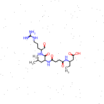 CCC(CC(=O)O)NC(=O)CCC(=O)NC(CC(C)C)C(=O)NC(C=O)CCCNC(=N)N